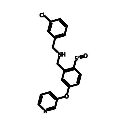 O=[S+]c1ccc(Oc2cccnc2)cc1CNCc1cccc(Cl)c1